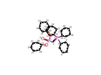 O=P(C=P(c1ccccc1)(c1ccccc1)c1ccccc1)(Oc1ccccc1)Oc1ccccc1